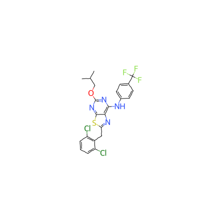 CC(C)COc1nc(Nc2ccc(C(F)(F)F)cc2)c2nc(Cc3c(Cl)cccc3Cl)sc2n1